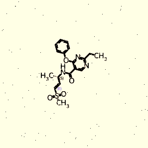 CCc1ncc(C(=O)N[C@@H](C)/C=C/S(C)(=O)=O)c(Oc2ccccc2)n1